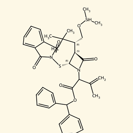 C=C(C)C(C(=O)OC(c1ccccc1)c1ccccc1)N1C(=O)[C@H]([C@@H](CO[SiH](C)C)C(C)(C)C)[C@H]1SN1C(=O)c2ccccc2C1=O